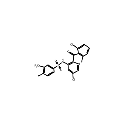 Cc1ccc(S(=O)(=O)Nc2cc(Cl)cnc2C(=O)c2c(F)cccc2Cl)cc1C(F)(F)F